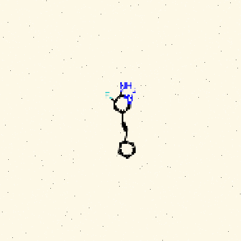 Nc1ncc(C#Cc2ccccc2)cc1F